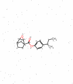 CCC(C)c1ccc(OC(=O)C23CCC(C2)C2OC23)cc1